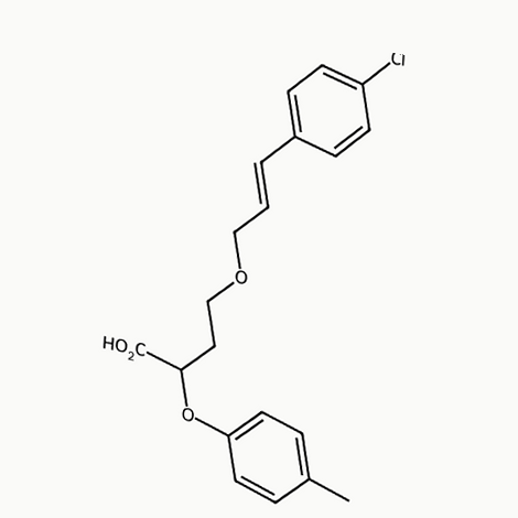 Cc1ccc(OC(CCOCC=Cc2ccc(Cl)cc2)C(=O)O)cc1